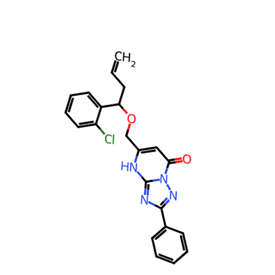 C=CCC(OCc1cc(=O)n2nc(-c3ccccc3)nc2[nH]1)c1ccccc1Cl